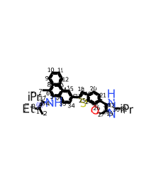 CC/C(C)=C(/Nc1c(C)c2ccccc2c2cc(-c3cc4ccc5c(c4s3)OCc3nc(C(C)C)[nH]c3-5)ccc12)C(C)C